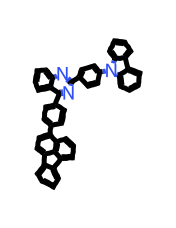 c1ccc2c(c1)-c1cccc3c(-c4ccc(-c5nc(-c6ccc(-n7c8ccccc8c8ccccc87)cc6)nc6ccccc56)cc4)ccc-2c13